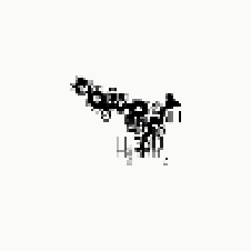 BC(B)(B)NC(=O)c1nnc(NC(=O)C2CC2)cc1Nc1cccc(-c2cc(C(=O)C3CCC(N4CCCC4)CC3)n(C)n2)c1OC